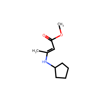 COC(=O)C=C(C)NC1CCCC1